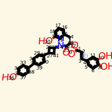 O=C(/C=C/c1ccc(O)c(O)c1)O[C@H](Cc1cccc(O)c1)C(=O)NC1CC(c2ccc(-c3ccc(O)cc3)cc2)C1